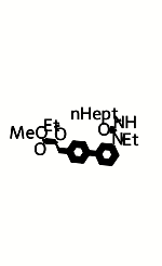 CCCCCCCNC(=O)N(CC)c1cccc(-c2ccc(C[C@H](OCC)C(=O)OC)cc2)c1